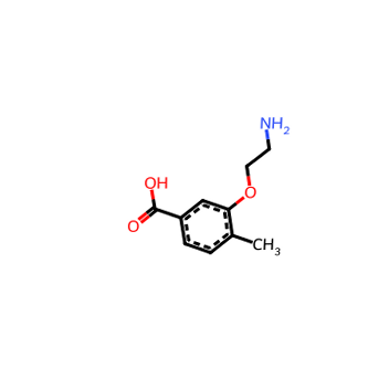 Cc1ccc(C(=O)O)cc1OCCN